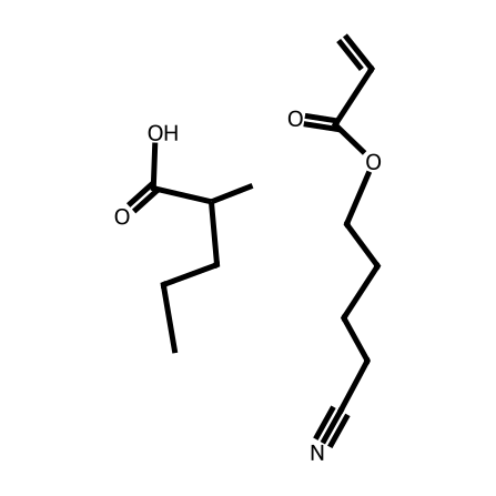 C=CC(=O)OCCCCC#N.CCCC(C)C(=O)O